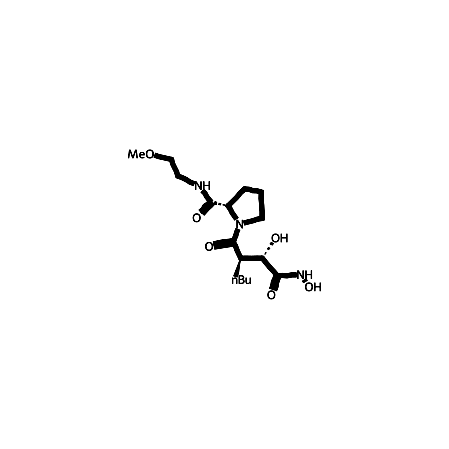 CCCC[C@@H](C(=O)N1CCC[C@H]1C(=O)NCCOC)[C@H](O)C(=O)NO